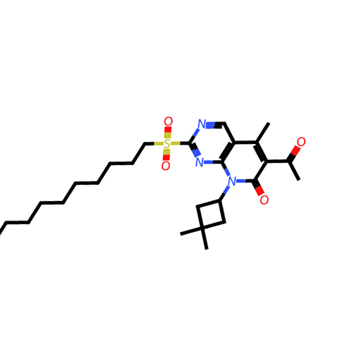 CCCCCCCCCCS(=O)(=O)c1ncc2c(C)c(C(C)=O)c(=O)n(C3CC(C)(C)C3)c2n1